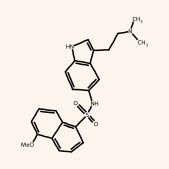 COc1cccc2c(S(=O)(=O)Nc3ccc4[nH]cc(CCN(C)C)c4c3)cccc12